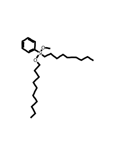 CCCCCCCCCCO[Si](CCCCCCCCC)(OC)c1ccccc1